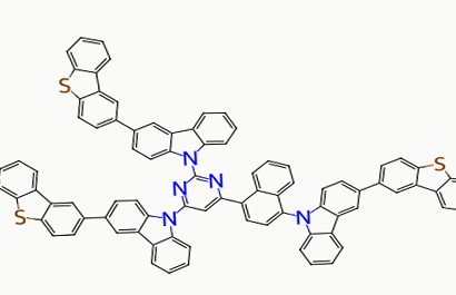 c1ccc2c(c1)sc1ccc(-c3ccc4c(c3)c3ccccc3n4-c3cc(-c4ccc(-n5c6ccccc6c6cc(-c7ccc8sc9ccccc9c8c7)ccc65)c5ccccc45)nc(-n4c5ccccc5c5cc(-c6ccc7sc8ccccc8c7c6)ccc54)n3)cc12